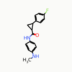 CNc1ccc(NC(=O)C2CC2c2ccc(F)cc2)cc1